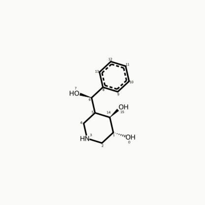 O[C@@H]1CNCC([C@@H](O)c2ccccc2)[C@H]1O